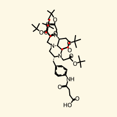 CC(C)(C)OC(=O)CN(CC(=O)OC(C)(C)C)[C@H](Cc1ccc(NC(=O)CCC(=O)O)cc1)CN(CC(=O)OC(C)(C)C)[C@H]1CCCC[C@@H]1N(CC(=O)OC(C)(C)C)CC(=O)OC(C)(C)C